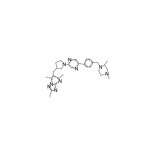 Cc1nc2nc(C)c(CC3CCN(c4cnc(-c5ccc(CN6CCN(C)CC6C)cc5)cn4)C3)c(C)n2n1